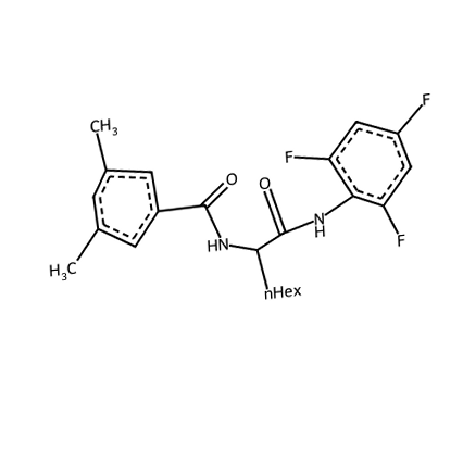 CCCCCCC(NC(=O)c1cc(C)cc(C)c1)C(=O)Nc1c(F)cc(F)cc1F